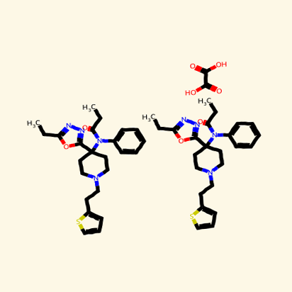 CCC(=O)N(c1ccccc1)C1(c2nnc(CC)o2)CCN(CCc2cccs2)CC1.CCC(=O)N(c1ccccc1)C1(c2nnc(CC)o2)CCN(CCc2cccs2)CC1.O=C(O)C(=O)O